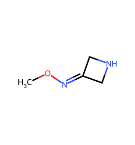 CON=C1CNC1